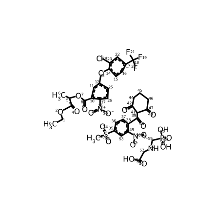 CCOC(=O)C(C)OC(=O)c1cc(Oc2ccc(C(F)(F)F)cc2Cl)ccc1[N+](=O)[O-].CS(=O)(=O)c1ccc(C(=O)C2C(=O)CCCC2=O)c([N+](=O)[O-])c1.O=C(O)CNCP(=O)(O)O